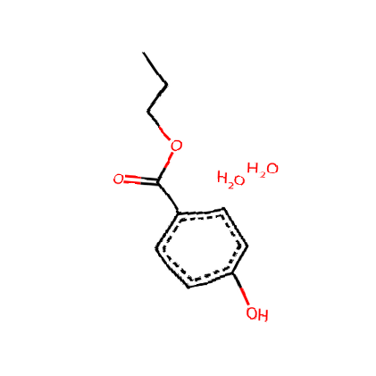 CCCOC(=O)c1ccc(O)cc1.O.O